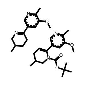 COc1cc(C2=CCC(C)CN2C(=O)OC(C)(C)C)cnc1C.COc1cc(C2=NCC(C)CC2)cnc1C